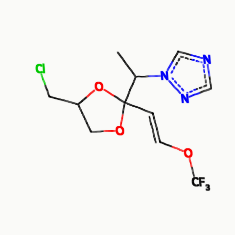 CC(n1cncn1)C1(C=COC(F)(F)F)OCC(CCl)O1